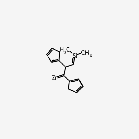 C[Si](C)=CC([C](=[Zr])C1=CC=CC1)C1=CC=CC1